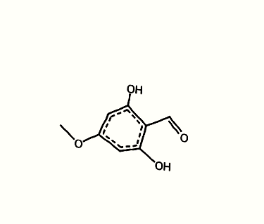 COc1cc(O)c(C=O)c(O)c1